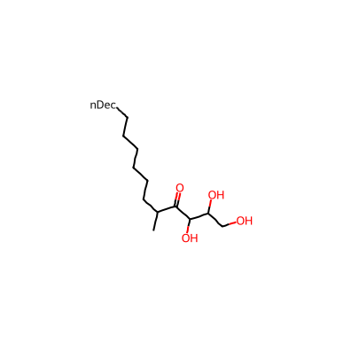 CCCCCCCCCCCCCCCCC(C)C(=O)C(O)C(O)CO